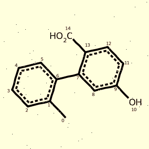 Cc1ccccc1-c1cc(O)ccc1C(=O)O